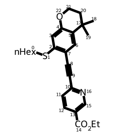 CCCCCCSc1cc2c(cc1C#Cc1ccc(C(=O)OCC)cn1)C(C)(C)CCO2